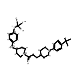 CC(C)(C)c1ccc(N2CCC(CCC(=O)N3CCC(Nc4ccc(SC(F)(F)F)cc4)CC3)CC2)cc1